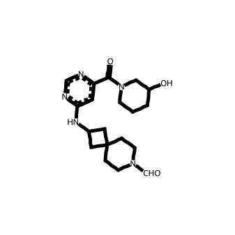 O=CN1CCC2(CC1)CC(Nc1cc(C(=O)N3CCCC(O)C3)ncn1)C2